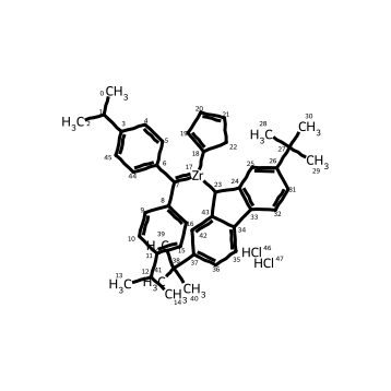 CC(C)c1ccc([C](c2ccc(C(C)C)cc2)=[Zr]([C]2=CC=CC2)[CH]2c3cc(C(C)(C)C)ccc3-c3ccc(C(C)(C)C)cc32)cc1.Cl.Cl